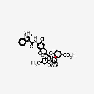 COC1(OC)CC(C)CN1C(O[C@H]1CC[C@H](C(=O)O)CC1)(C(=O)Cc1cc(Cl)c(NC(=O)c2cn(C)c3ccccc23)cc1Cl)N1CCCC1